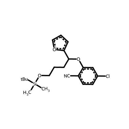 CC(C)(C)[Si](C)(C)OCCCC(Oc1cc(Cl)ccc1C#N)c1ccco1